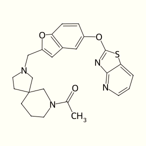 CC(=O)N1CCCC2(CCN(Cc3cc4cc(Oc5nc6ncccc6s5)ccc4o3)C2)C1